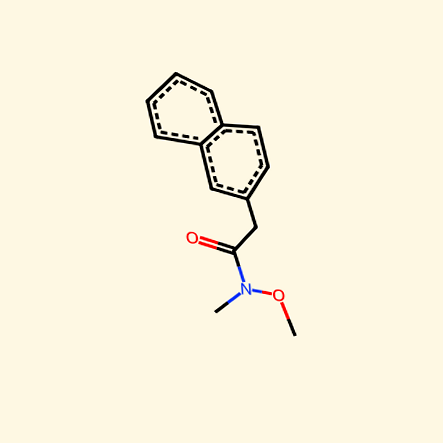 CON(C)C(=O)Cc1ccc2ccccc2c1